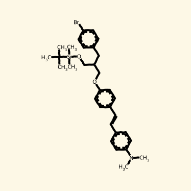 CN(C)c1ccc(/C=C/c2ccc(OCC(CO[Si](C)(C)C(C)(C)C)Cc3ccc(Br)cc3)cc2)cc1